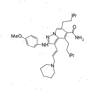 COc1ccc(Nc2nn3cc(CCC(C)C)c(C(N)=O)c(CCC(C)C)c3c2C=CCN2CCCCC2)cc1